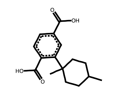 CC1CCC(C)(c2cc(C(=O)O)ccc2C(=O)O)CC1